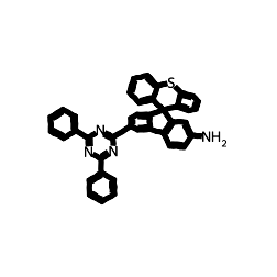 Nc1ccc2c(c1)C1(c3ccccc3Sc3ccccc31)c1ccc(-c3nc(-c4ccccc4)nc(-c4ccccc4)n3)cc1-2